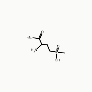 CC(C)(C)C(=O)C(N)CCP(C)(=O)O